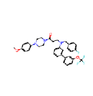 COc1ccc(N2CCN(C(=O)CCN(Cc3ccc(F)cc3)c3cccc(-c4cccc(OC(F)(F)F)c4)c3)CC2)cc1